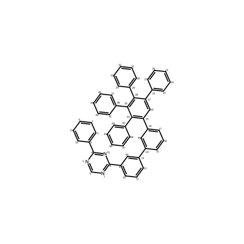 c1ccc(-c2ncnc(-c3cccc(-c4cccc(-c5cc(-c6ccccc6)c(-c6ccccc6)c(-c6ccccc6)c5-c5ccccc5)c4)c3)n2)cc1